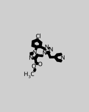 CCOC(=O)c1ncn2c1Cn1c(Cc3ccncc3)nnc1-c1cc(Cl)ccc1-2